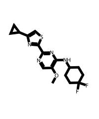 COc1cnc(-c2nc(C3CC3)cs2)nc1NC1CCC(F)(F)CC1